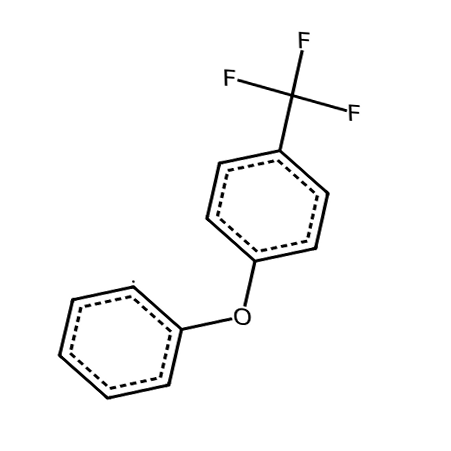 FC(F)(F)c1ccc(Oc2[c]cccc2)cc1